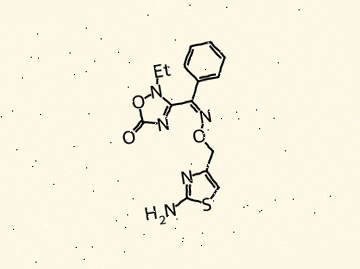 CCn1oc(=O)nc1C(=NOCc1csc(N)n1)c1ccccc1